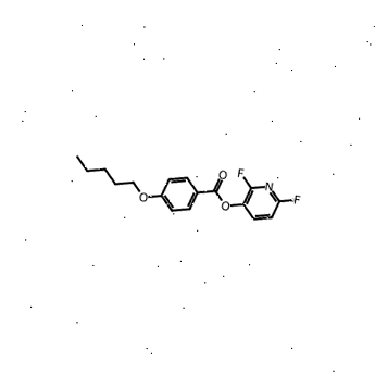 CCCCCOc1ccc(C(=O)Oc2ccc(F)nc2F)cc1